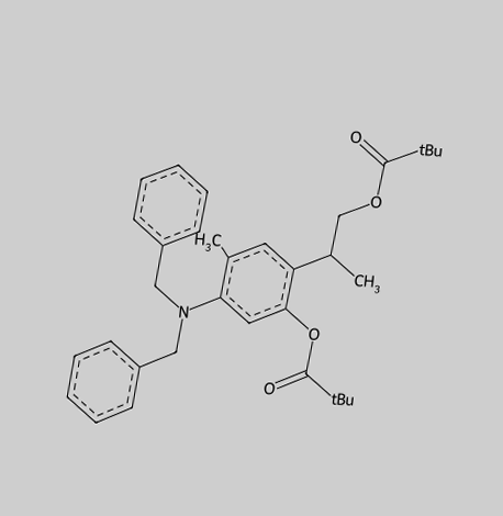 Cc1cc(C(C)COC(=O)C(C)(C)C)c(OC(=O)C(C)(C)C)cc1N(Cc1ccccc1)Cc1ccccc1